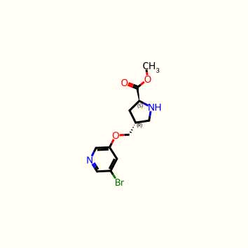 COC(=O)[C@@H]1C[C@@H](COc2cncc(Br)c2)CN1